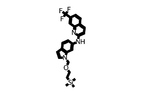 C[Si](C)(C)CCOCn1ccc2ccc(Nc3ccc4ccc(C(F)(F)F)cc4n3)cc21